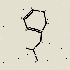 CC(C)CC1=CC=CCC1